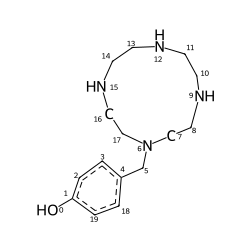 Oc1ccc(CN2CCNCCNCCNCC2)cc1